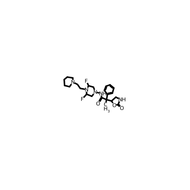 CC(C(=O)NN1CC(F)N(CCN2CCCCC2)C(F)C1)(c1ccccc1)C1CNC(=O)O1